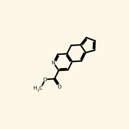 COC(=O)c1cc2c(cn1)CC1=CC=CC1=C2